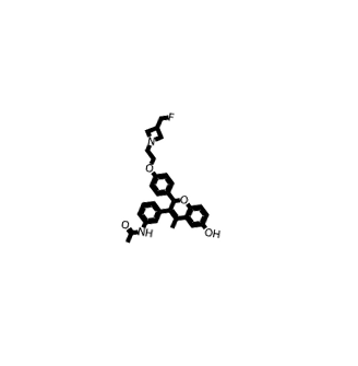 CC(=O)Nc1cccc(C2=C(C)c3cc(O)ccc3OC2c2ccc(OCCN3CC(CF)C3)cc2)c1